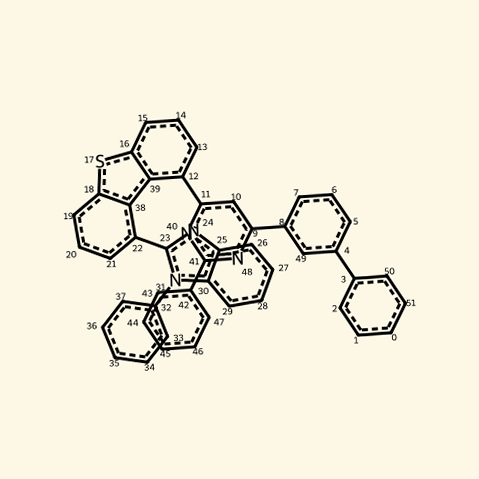 c1ccc(-c2cccc(-c3cc(-c4cccc5sc6cccc(-c7nc8ccccc8n7-c7ccccc7)c6c45)nc(-c4ccccc4)n3)c2)cc1